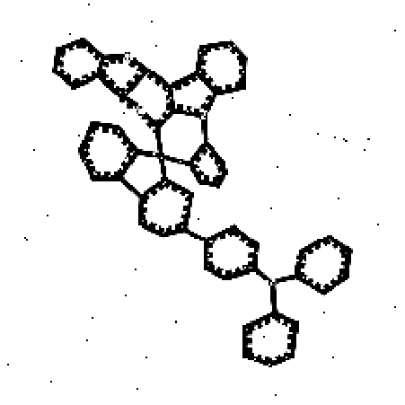 c1ccc(N(c2ccccc2)c2ccc(-c3ccc4c(c3)C3(c5ccccc5-4)c4ccccc4-n4c5ccccc5c5c6oc7ccccc7c6cc3c54)cc2)cc1